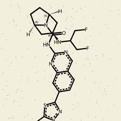 Cc1nnc(-c2ccc3cnc(NC(=O)N4[C@@H]5CC[C@H]4C[C@@H](NC(CF)CF)C5)nc3c2)s1